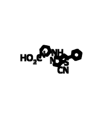 N#Cc1cnc(N[C@H]2CCCN(C(=O)O)C2)c2cc(-c3ccccc3)sc12